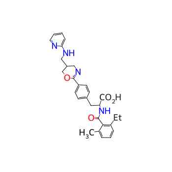 CCc1cccc(C)c1C(=O)NC(Cc1ccc(C2=NCC(CNc3ccccn3)CO2)cc1)C(=O)O